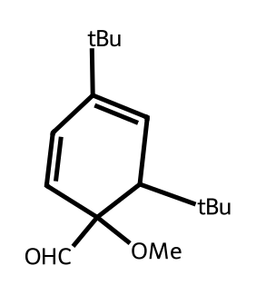 COC1(C=O)C=CC(C(C)(C)C)=CC1C(C)(C)C